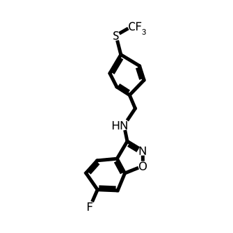 Fc1ccc2c(NCc3ccc(SC(F)(F)F)cc3)noc2c1